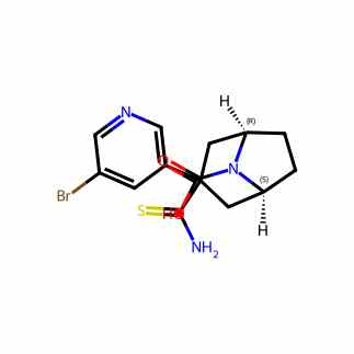 NC(=S)C1(c2cncc(Br)c2)C[C@H]2CC[C@@H](C1)N2C(=O)O